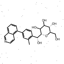 Cc1cc(-c2cccc3cnccc23)ccc1[C@@H](O)[C@H]1OC(CO)[C@@H](O)C(O)C1O